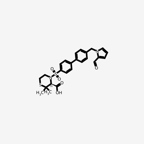 CC1(C)SCCN(S(=O)(=O)c2ccc(-c3ccc(Cn4cccc4C=O)cc3)cc2)[C@H]1C(=O)O